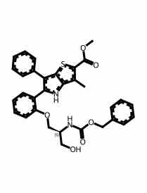 COC(=O)c1sc2c(-c3ccccc3)c(-c3ccccc3OC[C@H](CO)NC(=O)OCc3ccccc3)[nH]c2c1C